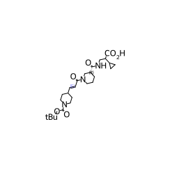 CC(C)(C)OC(=O)N1CCC(/C=C/C(=O)N2CCC[C@@H](C(=O)NCC(C(=O)O)C3CC3)C2)CC1